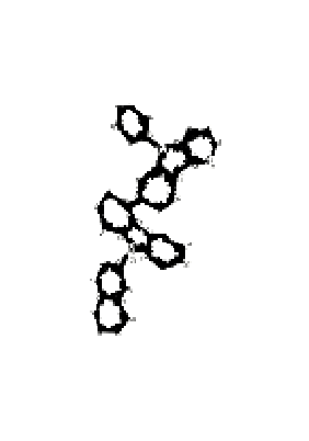 c1ccc(-n2c3cc(-c4cccc5c4c4ccccc4n5-c4ccc5ccccc5c4)ccc3c3ncccc32)cc1